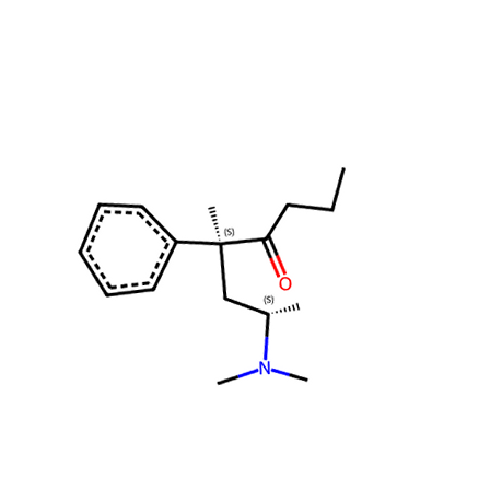 CCCC(=O)[C@@](C)(C[C@H](C)N(C)C)c1ccccc1